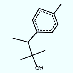 Cc1ccc(C(C)C(C)(C)O)cc1